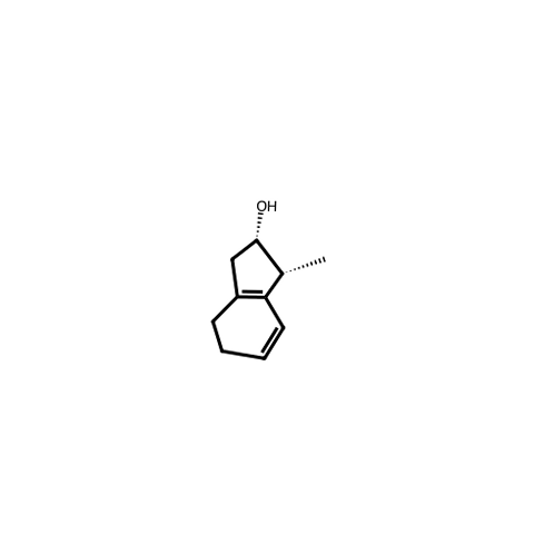 C[C@@H]1C2=C(CCC=C2)C[C@@H]1O